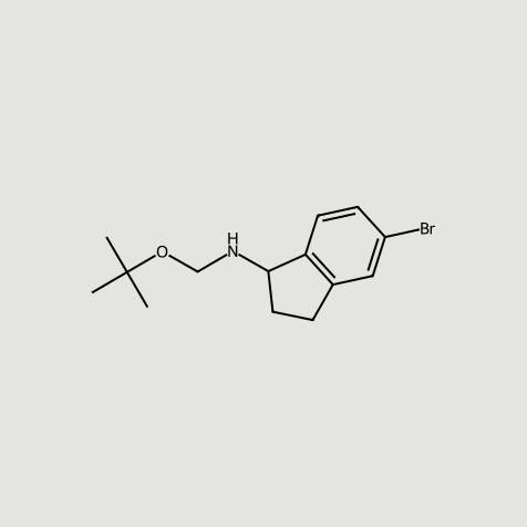 CC(C)(C)OCNC1CCc2cc(Br)ccc21